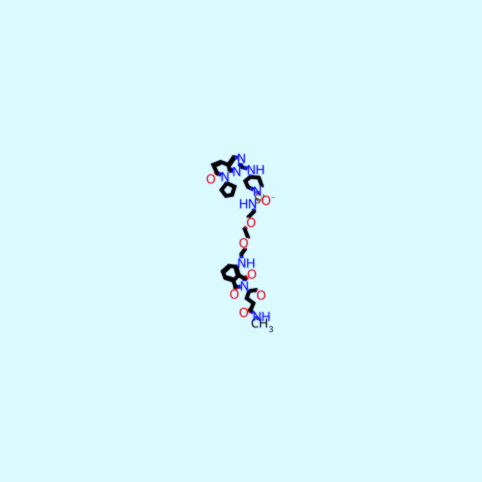 CNC(=O)CCC(C=O)N1C(=O)c2cccc(NCCOCCOCCN[S+]([O-])N3CCC(Nc4ncc5ccc(=O)n(C6CCCC6)c5n4)CC3)c2C1=O